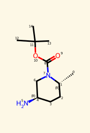 C[C@@H]1CC[C@@H](N)CN1C(=O)OC(C)(C)C